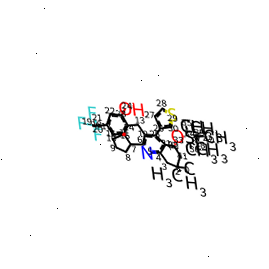 CC1(C)Cc2nc(C3CCCC3)c(Cc3ccc(C(F)(F)F)cc3O)c(-c3ccsc3)c2[C@@H](O[Si](C)(C)C(C)(C)C)C1